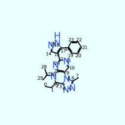 CC[C@@H]1c2nnc(C)n2-c2cnc(-c3cn[nH]c3-c3ccccc3)nc2N1C(C)C